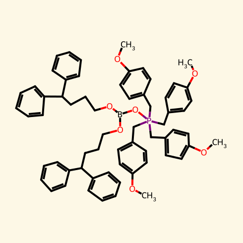 COc1ccc(CP(Cc2ccc(OC)cc2)(Cc2ccc(OC)cc2)(Cc2ccc(OC)cc2)OB(OCCCC(c2ccccc2)c2ccccc2)OCCCC(c2ccccc2)c2ccccc2)cc1